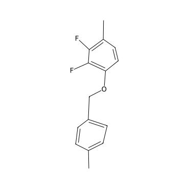 Cc1ccc(COc2ccc(C)c(F)c2F)cc1